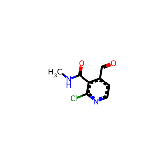 CNC(=O)c1c(C=O)ccnc1Cl